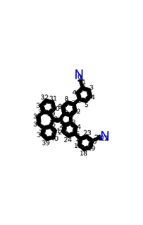 N#Cc1cccc(-c2ccc3c(c2)-c2cc(-c4cccc(C#N)c4)ccc2C3=C2c3ccccc3C=Cc3ccccc32)c1